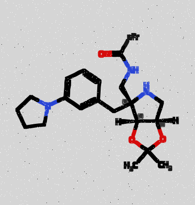 CCCC(=O)NC[C@@]1(Cc2cccc(N3CCCC3)c2)NC[C@@H]2OC(C)(C)O[C@@H]21